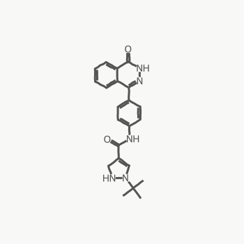 CC(C)(C)N1C=C(C(=O)Nc2ccc(-c3n[nH]c(=O)c4ccccc34)cc2)CN1